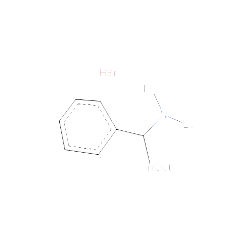 Br.CCCCCCCCC(c1ccccc1)N(CC)CC